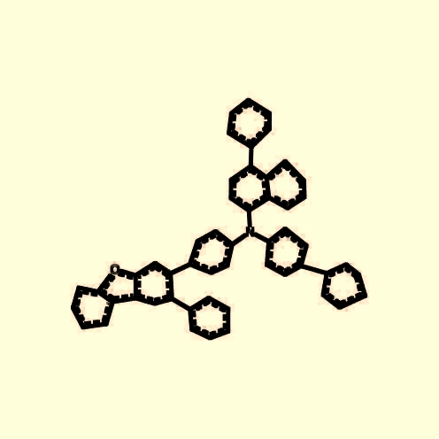 c1ccc(-c2ccc(N(c3ccc(-c4cc5oc6ccccc6c5cc4-c4ccccc4)cc3)c3ccc(-c4ccccc4)c4ccccc34)cc2)cc1